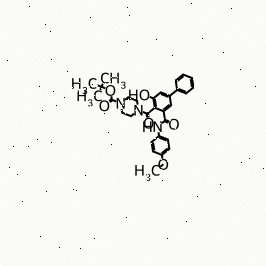 COc1ccc(NC(=O)c2cc(-c3ccccc3)cc(O)c2C(=O)N2CCN(C(=O)OC(C)(C)C)CC2)cc1